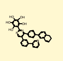 Oc1c(O)c(O)c(-c2ncc(-c3cccc(-c4cccnc4)c3)c(-c3ccc(-c4ccc5c(c4)C=CCC5)cc3)n2)c(O)c1O